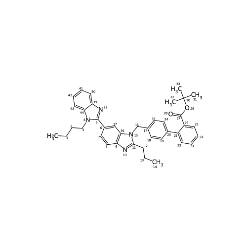 CCCCn1c(-c2ccc3nc(CCC)n(Cc4ccc(-c5ccccc5C(=O)OC(C)(C)C)cc4)c3c2)nc2ccccc21